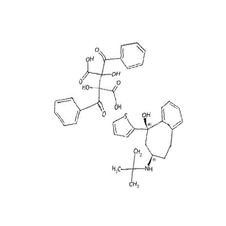 CC(C)(C)N[C@@H]1CCc2ccccc2[C@@](O)(c2cccs2)C1.O=C(O)C(O)(C(=O)c1ccccc1)C(O)(C(=O)O)C(=O)c1ccccc1